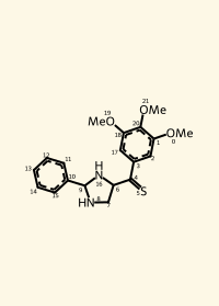 COc1cc(C(=S)C2CNC(c3ccccc3)N2)cc(OC)c1OC